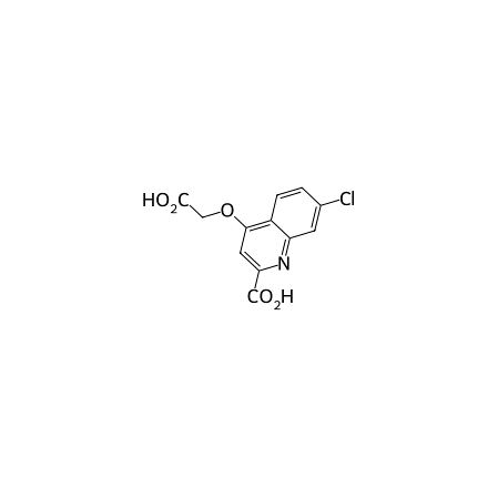 O=C(O)COc1cc(C(=O)O)nc2cc(Cl)ccc12